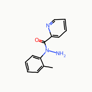 Cc1ccccc1N(N)C(=O)c1ccccn1